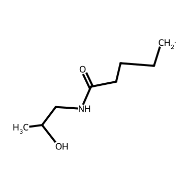 [CH2]CCCC(=O)NCC(C)O